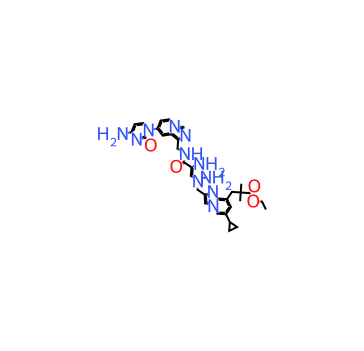 CCOC(=O)C(C)(C)Cc1cc(C2CC2)cn2cc(CN(N)/C=C(\N)C(=O)NCc3ncn4ccc(-n5ccc(N)nc5=O)cc34)nc12